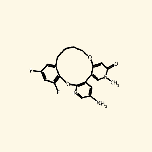 Cn1cc2c(cc1=O)OCCCCc1cc(F)cc(F)c1Oc1ncc(N)cc1-2